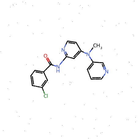 CN(c1cccnc1)c1ccnc(NC(=O)c2cccc(Cl)c2)c1